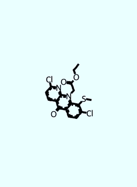 CCOC(=O)Cn1c2nc(Cl)ccc2c(=O)c2ccc(Cl)c(SC)c21